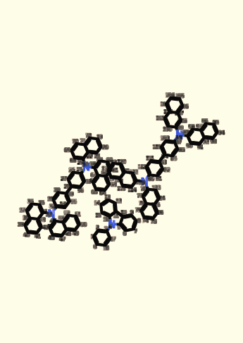 c1ccc(-n2c3ccccc3c3ccccc32)cc1.c1ccc2c(N(c3ccc(-c4ccc(N(c5cccc6ccccc56)c5cccc6ccccc56)cc4)cc3)c3cccc4ccccc34)cccc2c1.c1ccc2cc(N(c3ccc(-c4ccc(N(c5ccc6ccccc6c5)c5ccc6ccccc6c5)cc4)cc3)c3ccc4ccccc4c3)ccc2c1